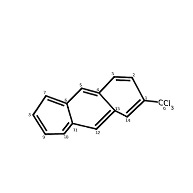 ClC(Cl)(Cl)c1ccc2cc3ccccc3cc2c1